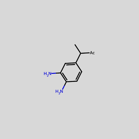 CC(=O)C(C)c1ccc(N)c(N)c1